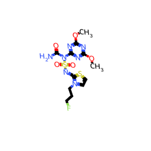 COc1nc(OC)nc(N(C(N)=O)S(=O)(=O)N=c2sccn2CCCF)n1